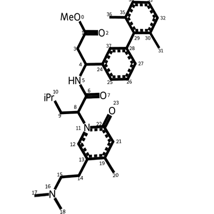 COC(=O)CC(NC(=O)C(CC(C)C)n1cc(CCN(C)C)c(C)cc1=O)c1cccc(-c2c(C)cccc2C)c1